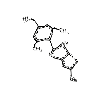 Cc1cc(C(C)(C)C)cc(C)c1-c1nc2cc(C(C)(C)C)ccc2[nH]1